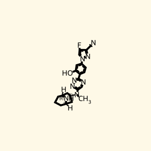 CN(c1cnc(-c2ccc(-n3cc(F)c(C#N)n3)cc2O)nn1)[C@@H]1C[C@H]2CCC[C@@H](C1)N2